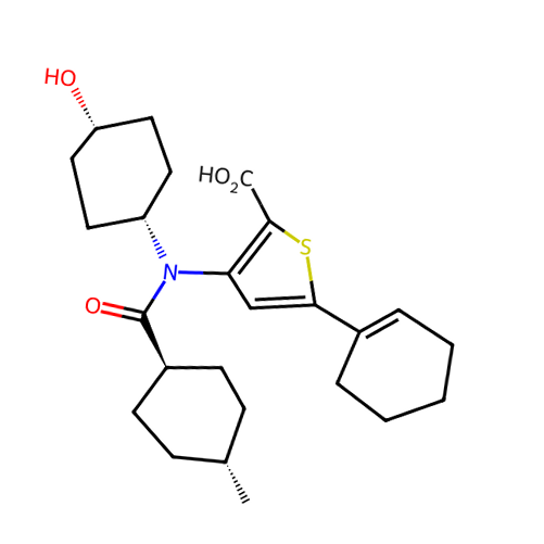 C[C@H]1CC[C@H](C(=O)N(c2cc(C3=CCCCC3)sc2C(=O)O)[C@H]2CC[C@@H](O)CC2)CC1